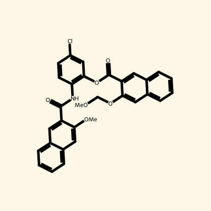 COCOc1cc2ccccc2cc1C(=O)Oc1cc(Cl)ccc1NC(=O)c1cc2ccccc2cc1OC